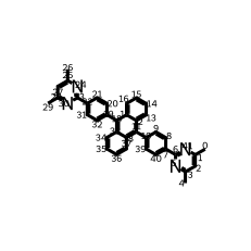 Cc1cc(C)nc(-c2ccc(-c3c4ccccc4c(-c4ccc(-c5nc(C)cc(C)n5)cc4)c4ccccc34)cc2)n1